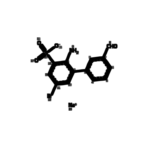 Nc1c(-c2cccc(C=O)c2)cc(Br)cc1S(=O)(=O)[O-].[Na+]